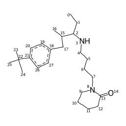 CCC(NCCCCN1CCCCC1=O)C(C)Cc1ccc(C(C)(C)C)cc1